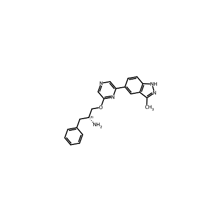 Cc1n[nH]c2ccc(-c3cncc(OC[C@H](N)Cc4ccccc4)n3)cc12